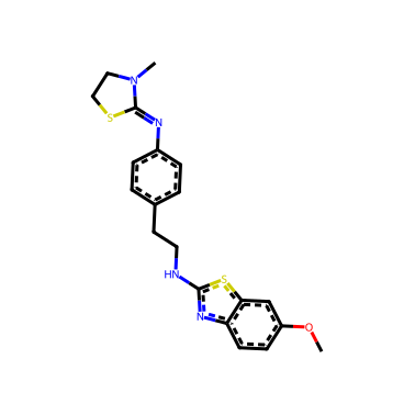 COc1ccc2nc(NCCc3ccc(/N=C4\SCCN4C)cc3)sc2c1